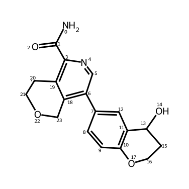 NC(=O)c1ncc(-c2ccc3c(c2)C(O)CCO3)c2c1[CH]COC2